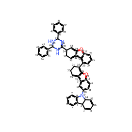 C1=CC2c3ccccc3N(c3ccc4oc5c(c4c3)=CCCC=5c3cccc4oc5c(c34)=CCC(C3=NC(c4ccccc4)NC(c4ccccc4)N3)C=5)C2C=C1